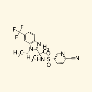 CCn1c(C(C)(C)NS(=O)(=O)c2ccc(C#N)nc2)nc2ccc(C(F)(F)F)cc21